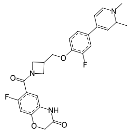 CC1C=C(c2ccc(OCC3CN(C(=O)c4cc5c(cc4F)OCC(=O)N5)C3)c(F)c2)C=CN1C